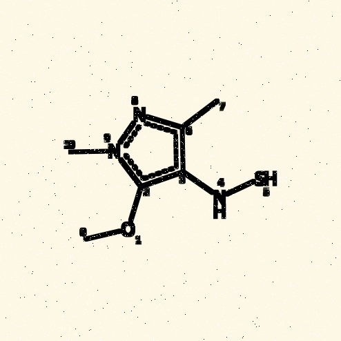 COc1c(NS)c(C)nn1C